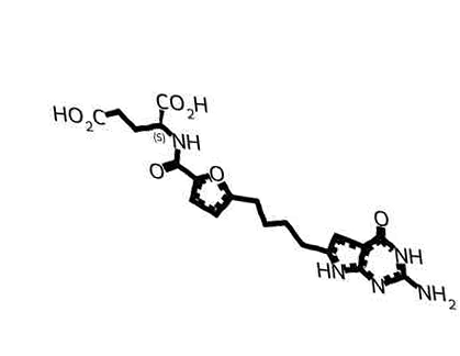 Nc1nc2[nH]c(CCCCc3ccc(C(=O)N[C@@H](CCC(=O)O)C(=O)O)o3)cc2c(=O)[nH]1